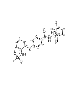 CS(=O)(=O)Nc1ccccc1Sc1ccc(C(=O)N[C@@H]2C[C@H]3CC[C@@H]2N3)cc1